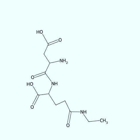 CCNC(=O)CCC(NC(=O)C(N)CC(=O)O)C(=O)O